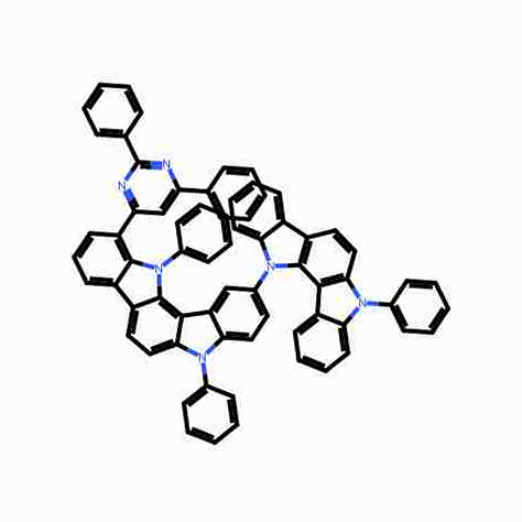 c1ccc(-c2cc(-c3cccc4c5ccc6c(c7cc(-n8c9ccccc9c9ccc%10c(c%11ccccc%11n%10-c%10ccccc%10)c98)ccc7n6-c6ccccc6)c5n(-c5ccccc5)c34)nc(-c3ccccc3)n2)cc1